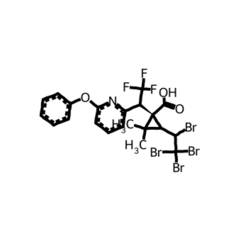 CC1(C)C(C(Br)C(Br)(Br)Br)[C@]1(C(=O)O)C(c1cccc(Oc2ccccc2)n1)C(F)(F)F